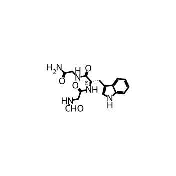 NC(=O)CNC(=O)[C@H](Cc1c[nH]c2ccccc12)NC(=O)CNC=O